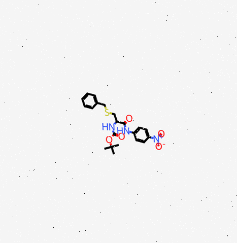 CC(C)(C)OC(=O)NC(CSCc1ccccc1)C(=O)Nc1ccc([N+](=O)[O-])cc1